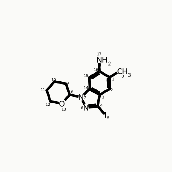 Cc1cc2c(I)nn(C3CCCCO3)c2cc1N